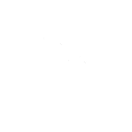 CC[C@H](C(=N)C(=O)OCc1ccccc1)c1nc(C)cs1